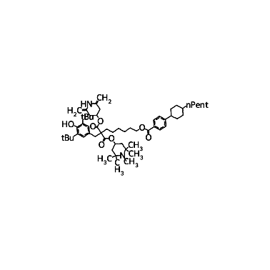 C=C1CC(OC(=O)C(CCCCCCOC(=O)c2ccc(C3CCC(CCCCC)CC3)cc2)(Cc2cc(C(C)(C)C)c(O)c(C(C)(C)C)c2)C(=O)OC2CC(C)(C)N(C)C(C)(C)C2)CC(=C)N1